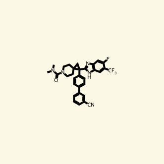 CN(C)C(=O)N1CCC2(CC1)CC2(c1ccc(-c2cccc(C#N)c2)cc1)c1nc2cc(F)c(C(F)(F)F)cc2[nH]1